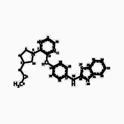 COCC1CCN(c2nccnc2Oc2ccc(Nc3nc4ccccc4s3)cc2)C1